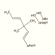 CC=CC(C)(C)C=CCCCCC.CCCCCCCO.CCCCO